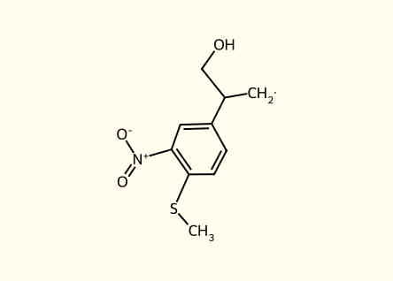 [CH2]C(CO)c1ccc(SC)c([N+](=O)[O-])c1